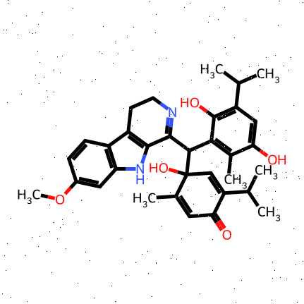 COc1ccc2c3c([nH]c2c1)C(C(c1c(C)c(O)cc(C(C)C)c1O)C1(O)C=C(C(C)C)C(=O)C=C1C)=NCC3